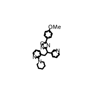 COc1ccc(-c2nc(C(Cc3cccnc3N3CCCCC3)c3cccnc3)no2)cc1